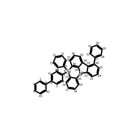 c1ccc(-c2ccc([Si]3(c4ccccc4)c4ccccc4-n4c5cccc(-c6ccccc6)c5c5cccc3c54)cc2)cc1